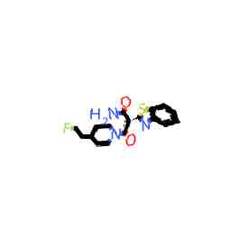 NC(=O)[C@@H](C(=O)N1CCC(CCF)CC1)c1nc2ccccc2s1